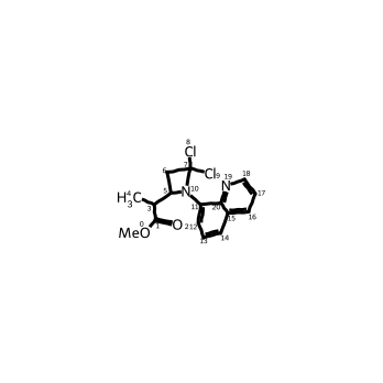 COC(=O)C(C)C1CC(Cl)(Cl)N1c1cccc2cccnc12